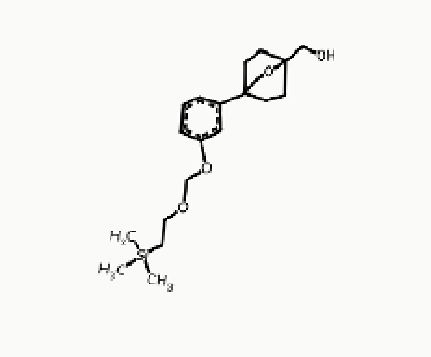 C[Si](C)(C)CCOCOc1cccc(C23CCC(CO)(CC2)OC3)c1